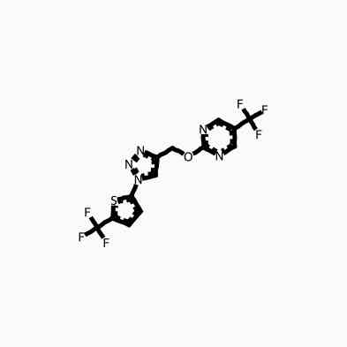 FC(F)(F)c1cnc(OCc2cn(-c3ccc(C(F)(F)F)s3)nn2)nc1